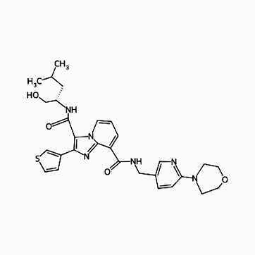 CC(C)C[C@@H](CO)NC(=O)c1c(-c2ccsc2)nc2c(C(=O)NCc3ccc(N4CCOCC4)nc3)cccn12